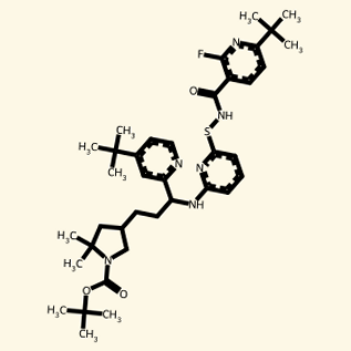 CC(C)(C)OC(=O)N1CC(CCC(Nc2cccc(SNC(=O)c3ccc(C(C)(C)C)nc3F)n2)c2cc(C(C)(C)C)ccn2)CC1(C)C